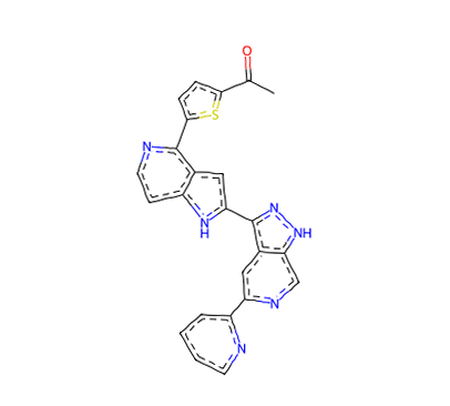 CC(=O)c1ccc(-c2nccc3[nH]c(-c4n[nH]c5cnc(-c6ccccn6)cc45)cc23)s1